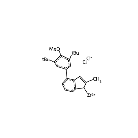 COc1c(C(C)(C)C)cc(-c2cccc3c2C=C(C)[CH]3[Zr+2])cc1C(C)(C)C.[Cl-].[Cl-]